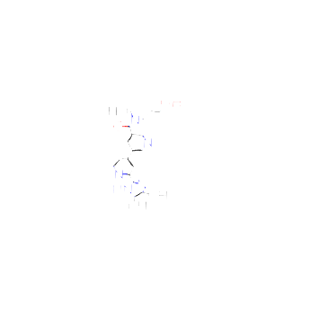 Cc1nc(-c2cc(-c3cncc(C(=O)N(C)CCCO)c3)ccn2)[nH]c1C